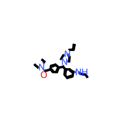 C=CCN1CCN([C@H](c2ccc(C(=O)N(CC)CC)cc2)c2cccc(NCCC)c2)CC1